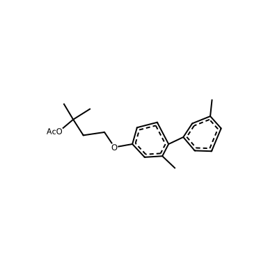 CC(=O)OC(C)(C)CCOc1ccc(-c2cccc(C)c2)c(C)c1